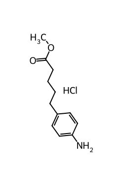 COC(=O)CCCCc1ccc(N)cc1.Cl